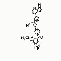 CNCc1cc(C(=O)N2CCN([C@H]3C[C@](CC#N)(n4cc(-c5ncnc6[nH]ccc56)cn4)C3)CC2)nc(C(F)(F)F)n1